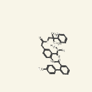 CCOC(=O)C(COC(=O)Cc1ccc(NC(=O)c2ccccc2-c2ccc(C(F)(F)F)cc2)c(C(=O)N(C)CC)c1)(C(=O)OCC)c1ccccc1